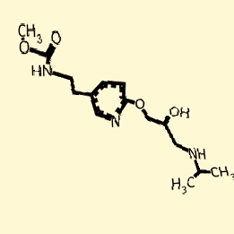 COC(=O)NCCc1ccc(OCC(O)CNC(C)C)nc1